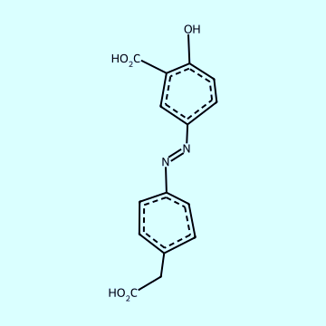 O=C(O)Cc1ccc(N=Nc2ccc(O)c(C(=O)O)c2)cc1